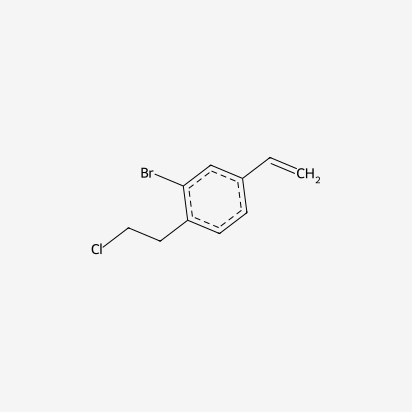 C=Cc1ccc(CCCl)c(Br)c1